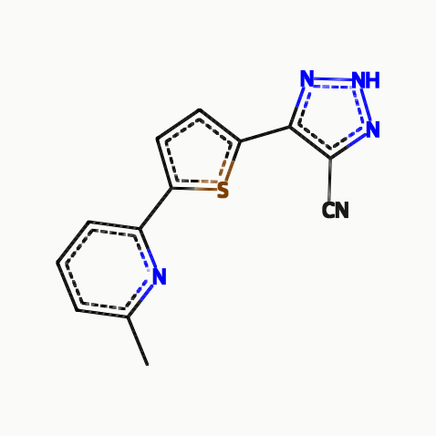 Cc1cccc(-c2ccc(-c3n[nH]nc3C#N)s2)n1